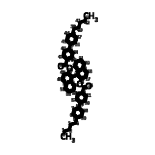 CCCCCc1ccc(-c2ccc(C(=O)Oc3ccc4ccccc4c3-c3c(OC(=O)c4ccc(-c5ccc(CCCCC)cc5)cc4)ccc4ccccc34)cc2)cc1